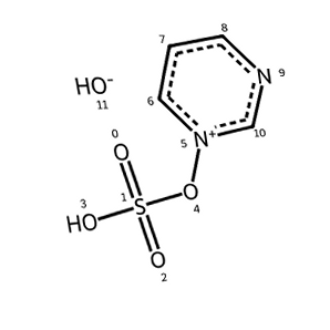 O=S(=O)(O)O[n+]1cccnc1.[OH-]